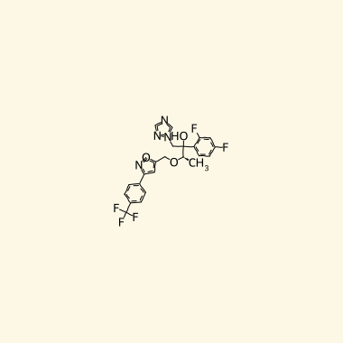 C[C@@H](OCc1cc(-c2ccc(C(F)(F)F)cc2)no1)C(O)(Cn1cncn1)c1ccc(F)cc1F